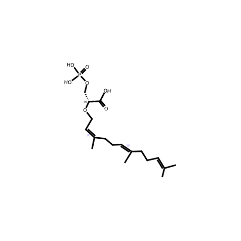 CC(C)=CCC/C(C)=C/CC/C(C)=C\CO[C@H](COP(=O)(O)O)C(=O)O